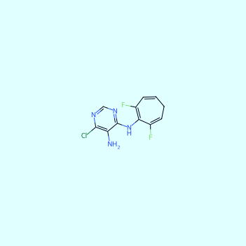 Nc1c(Cl)ncnc1NC1=C(F)C=CCC=C1F